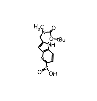 CN(Cc1cc2nc(S(=O)O)ccc2[nH]1)C(=O)OC(C)(C)C